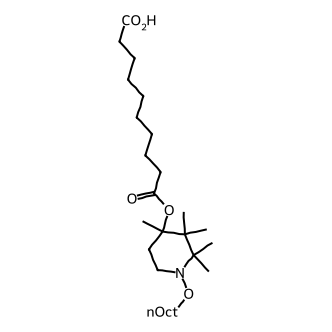 CCCCCCCCON1CCC(C)(OC(=O)CCCCCCCCC(=O)O)C(C)(C)C1(C)C